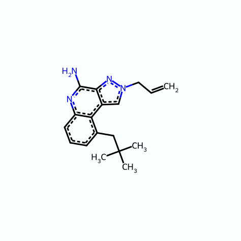 C=CCn1cc2c(n1)c(N)nc1cccc(CC(C)(C)C)c12